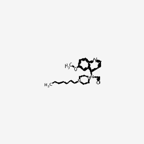 CCCCCCCN1CCN(N(C=O)c2ccnc3ccc(OC)cc23)CC1